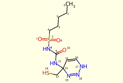 CCCCCS(=O)(=O)NC(=O)NC1(CS)C=CNN=N1